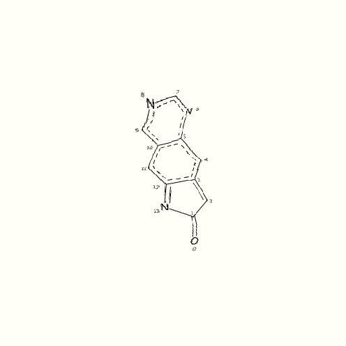 O=C1C=c2cc3ncncc3cc2=N1